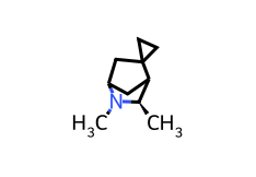 C[C@@H]1C2CC(CC23CC3)N1C